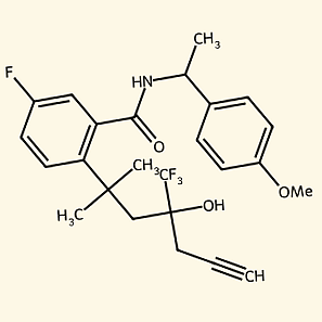 C#CCC(O)(CC(C)(C)c1ccc(F)cc1C(=O)NC(C)c1ccc(OC)cc1)C(F)(F)F